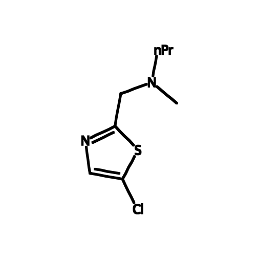 CCCN(C)Cc1ncc(Cl)s1